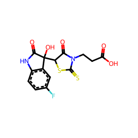 O=C(O)CCN1C(=O)C(C2(O)C(=O)Nc3ccc(F)cc32)SC1=S